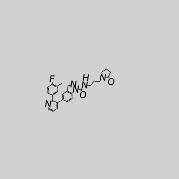 Cc1cc(-c2ncccc2-c2ccc3c(cnn3C(=O)NCCCN3CCCC3=O)c2)ccc1F